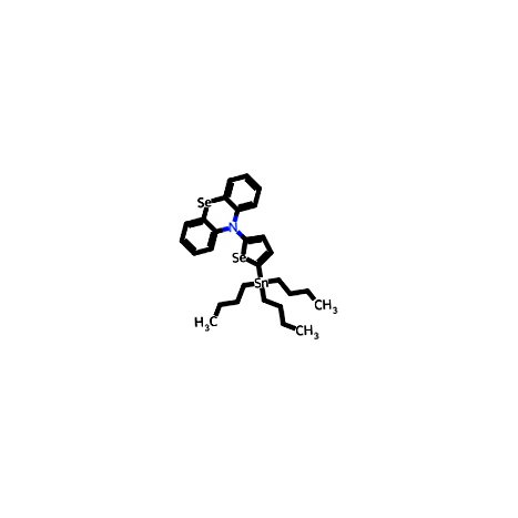 CCC[CH2][Sn]([CH2]CCC)([CH2]CCC)[c]1ccc(N2c3ccccc3[Se]c3ccccc32)[se]1